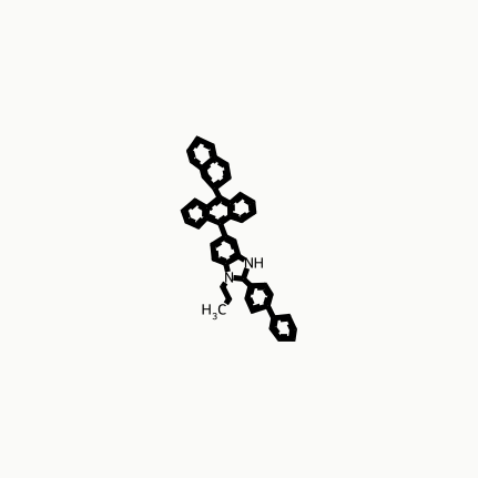 CCCN1c2ccc(-c3c4ccccc4c(-c4ccc5ccccc5c4)c4ccccc34)cc2NC1c1ccc(-c2ccccc2)cc1